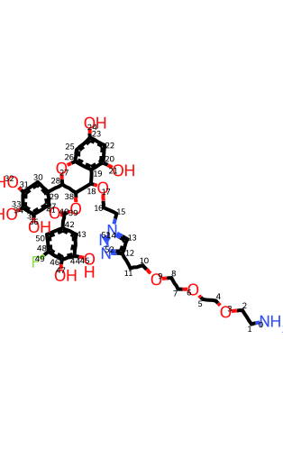 NCCOCCOCCOCCc1cn(CCOC2c3c(O)cc(O)cc3OC(c3cc(O)c(O)c(O)c3)C2OC(=O)c2cc(O)c(O)c(F)c2)nn1